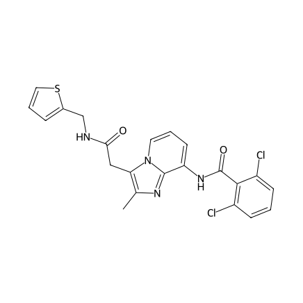 Cc1nc2c(NC(=O)c3c(Cl)cccc3Cl)cccn2c1CC(=O)NCc1cccs1